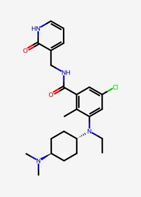 CCN(c1cc(Cl)cc(C(=O)NCc2ccc[nH]c2=O)c1C)[C@H]1CC[C@H](N(C)C)CC1